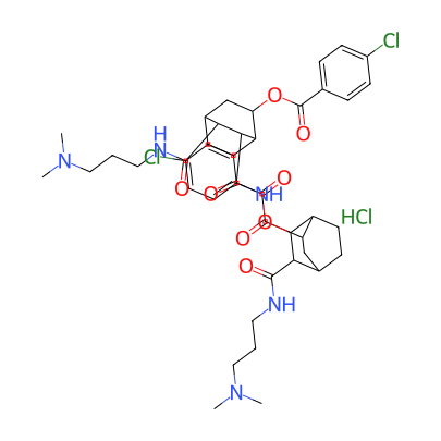 CN(C)CCCNC(=O)C1C2CCC(C(OC(=O)c3ccc(Cl)cc3)C2)C1C(=O)NC(=O)C1C2CCC(CC2OC(=O)c2ccc(Cl)cc2)C1C(=O)NCCCN(C)C.Cl